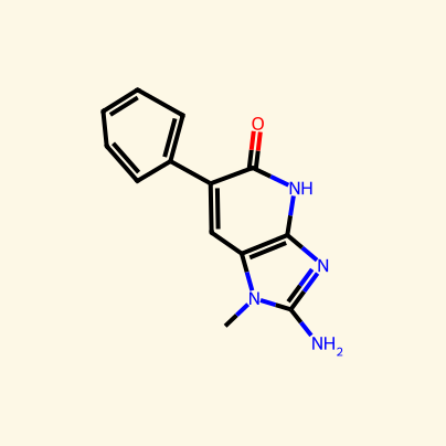 Cn1c(N)nc2[nH]c(=O)c(-c3ccccc3)cc21